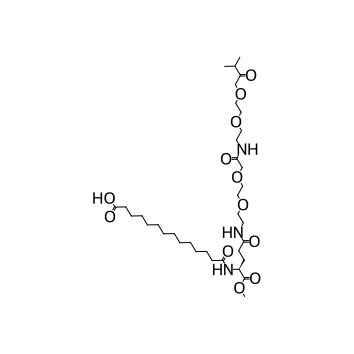 COC(=O)[C@H](CCC(=O)NCCOCCOCC(=O)NCCOCCOCC(=O)C(C)C)NC(=O)CCCCCCCCCCCCC(=O)O